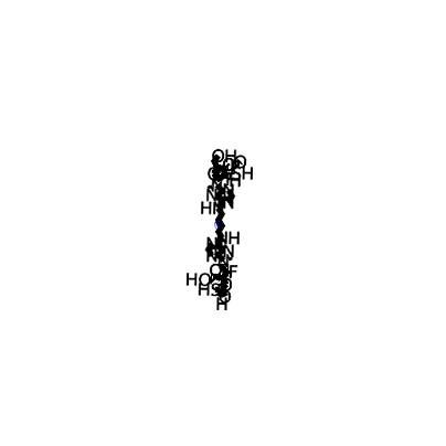 O=[PH](S)OC1[C@@H](F)[C@H](n2cnc3c(NC/C=C/CNc4ncnc5c4ncn5[C@@H]4OC(CO)[C@@H](O[PH](=O)S)[C@H]4F)ncnc32)O[C@@H]1CO